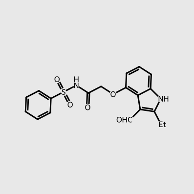 CCc1[nH]c2cccc(OCC(=O)NS(=O)(=O)c3ccccc3)c2c1C=O